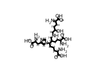 NC(CCCC(C(CCC(N)C(=O)O)CNCC(O)CCC(N)C(=O)O)n1cnc(CC(N)C(=O)O)c1)C(=O)O